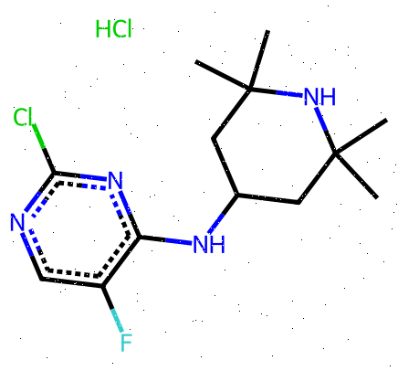 CC1(C)CC(Nc2nc(Cl)ncc2F)CC(C)(C)N1.Cl